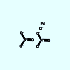 O=[N+]([O-])[O-].O=[N+]([O-])[O-].[Cl-].[Pd]